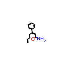 C=CCCC(=CC(N)=O)c1ccccc1